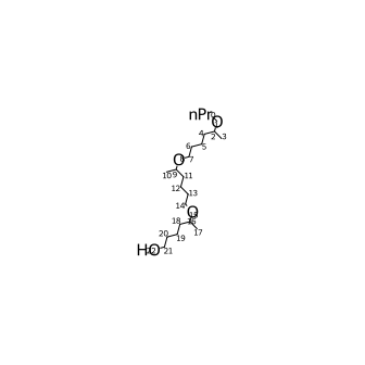 CCCOC(C)CCCCOC(C)CCCCOC(C)CCCCO